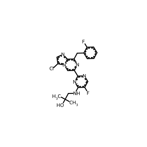 CC(C)(O)CNc1nc(-c2cn3c(Cl)cnc3c(Cc3ccccc3F)n2)ncc1F